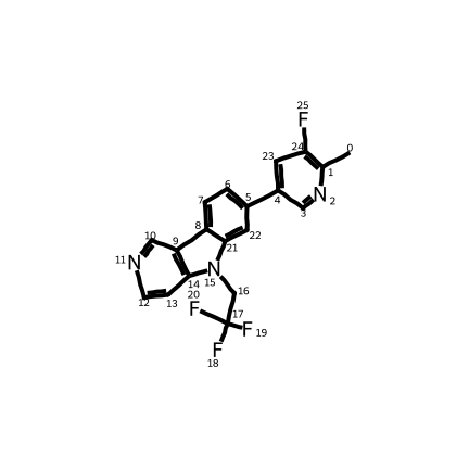 Cc1ncc(-c2ccc3c4cnccc4n(CC(F)(F)F)c3c2)cc1F